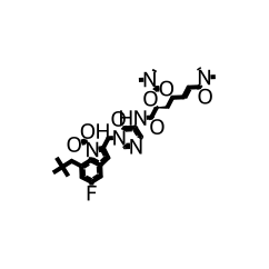 CN(C)C(=O)/C=C/CC[C@H](OC(=O)N(C)C)C(=O)Nc1cncn(Cc2cc3cc(F)cc(CC(C)(C)C)c3n2C(=O)O)c1=O